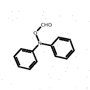 O=CON(c1ccccc1)c1ccccc1